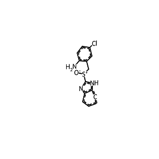 Nc1ccc(Cl)cc1C[S+]([O-])c1nc2ccccc2[nH]1